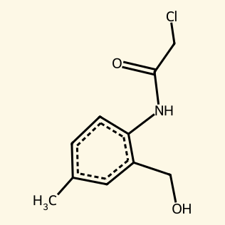 Cc1ccc(NC(=O)CCl)c(CO)c1